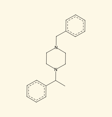 CC(c1ccccc1)N1CCN(Cc2ccccc2)CC1